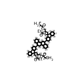 C=CC(=O)OCCCC1(COC(=O)CC)c2ccccc2-c2ccc(-c3cc4c5ccccc5c(-c5ccc6c(c5)C(CCCOC(=O)C=C)(COC(=O)CC)c5ccccc5-6)cc4c4ccccc34)cc21